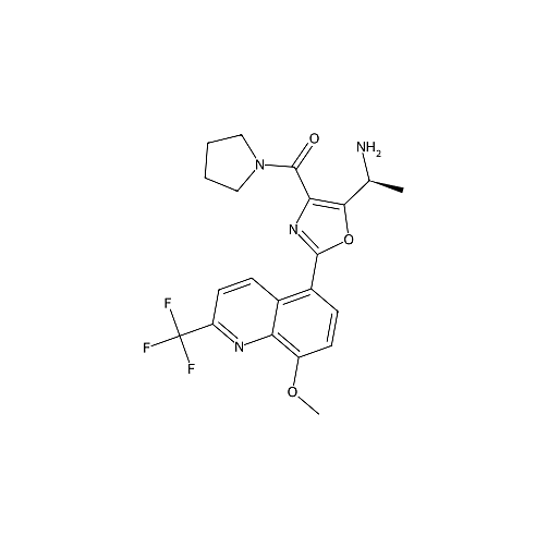 COc1ccc(-c2nc(C(=O)N3CCCC3)c([C@H](C)N)o2)c2ccc(C(F)(F)F)nc12